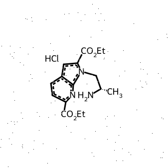 CCOC(=O)c1ccc2cc(C(=O)OCC)n(C[C@H](C)N)c2n1.Cl